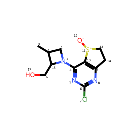 CC1CN(c2nc(Cl)nc3c2[S+]([O-])CC3)C1CO